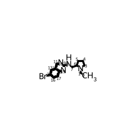 CCN1CCCC1CNc1ncc2cc(Br)ccc2n1